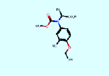 CCC(C(=O)O)N(C(=O)OC(C)(C)C)c1ccc(OCC(C)(C)C)c(C#N)c1